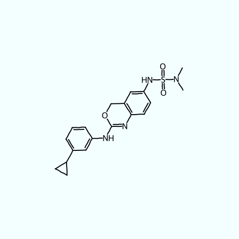 CN(C)S(=O)(=O)Nc1ccc2c(c1)COC(Nc1cccc(C3CC3)c1)=N2